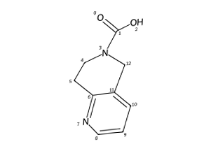 O=C(O)N1CCc2ncccc2C1